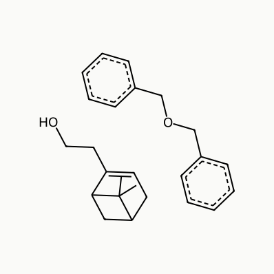 CC1(C)C2CC=C(CCO)C1C2.c1ccc(COCc2ccccc2)cc1